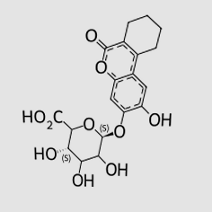 O=C(O)C1O[C@@H](Oc2cc3oc(=O)c4c(c3cc2O)CCCC4)C(O)C(O)[C@@H]1O